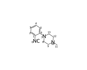 [C-]#[N+]c1ccccc1N1CCN(C)CC1